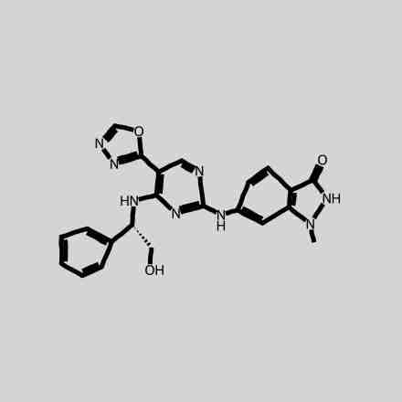 Cn1[nH]c(=O)c2ccc(Nc3ncc(-c4nnco4)c(N[C@H](CO)c4ccccc4)n3)cc21